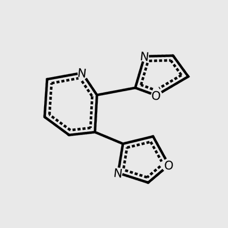 c1cnc(-c2ncco2)c(-c2cocn2)c1